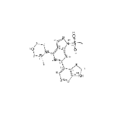 C[C@@H]1COCCN1c1nc(-c2cccc3c2CCN3)nc2c1ccn2S(C)(=O)=O